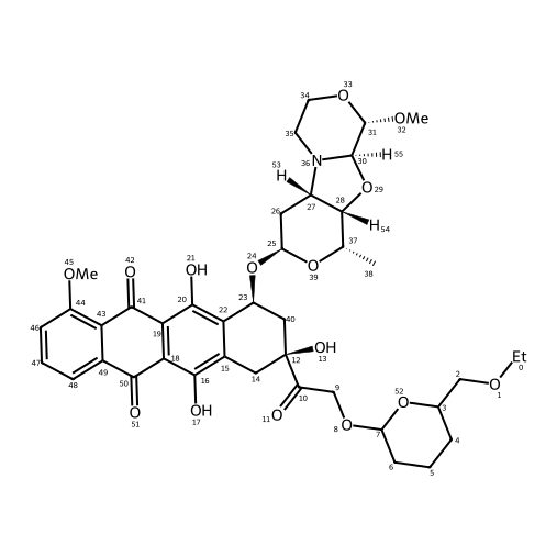 CCOCC1CCCC(OCC(=O)[C@]2(O)Cc3c(O)c4c(c(O)c3[C@@H](O[C@H]3C[C@H]5[C@H](O[C@@H]6[C@@H](OC)OCCN65)[C@H](C)O3)C2)C(=O)c2c(OC)cccc2C4=O)O1